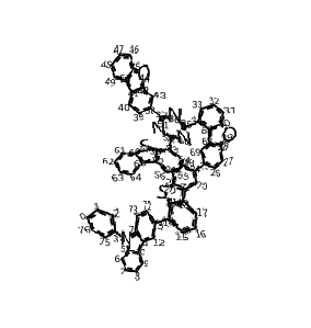 c1ccc(-n2c3ccccc3c3cc(-c4cccc5c4sc4ccc(-c6ccc7oc8cccc(-c9nc(-c%10ccc%11c(c%10)oc%10ccccc%10%11)nc(-c%10cccc%11c%10sc%10ccccc%10%11)n9)c8c7c6)cc45)ccc32)cc1